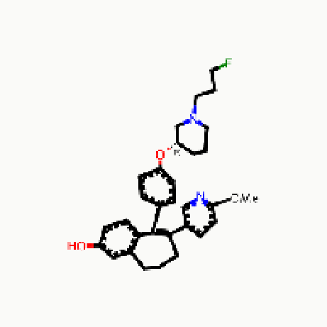 COc1ccc(C2=C(c3ccc(O[C@H]4CCCN(CCCF)C4)cc3)c3ccc(O)cc3CCC2)cn1